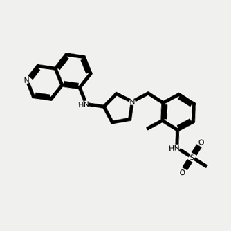 Cc1c(CN2CCC(Nc3cccc4cnccc34)C2)cccc1NS(C)(=O)=O